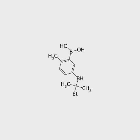 CCC(C)(C)Bc1ccc(C)c(B(O)O)c1